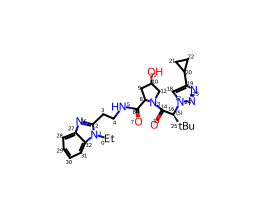 CCn1c(CCNC(=O)C2CC(O)CN2C(=O)[C@@H](n2cc(C3CC3)nn2)C(C)(C)C)nc2ccccc21